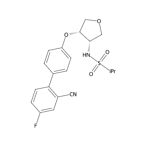 CC(C)S(=O)(=O)N[C@H]1COC[C@H]1Oc1ccc(-c2ccc(F)cc2C#N)cc1